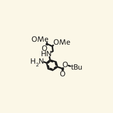 COC(=O)C(CNc1cc(C(=O)OC(C)(C)C)ccc1N)OC